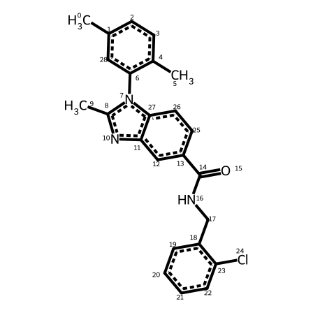 Cc1ccc(C)c(-n2c(C)nc3cc(C(=O)NCc4ccccc4Cl)ccc32)c1